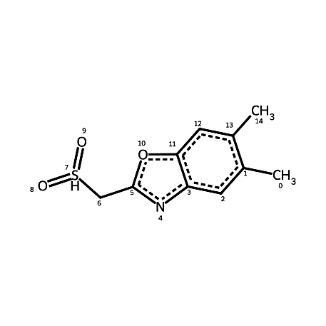 Cc1cc2nc(C[SH](=O)=O)oc2cc1C